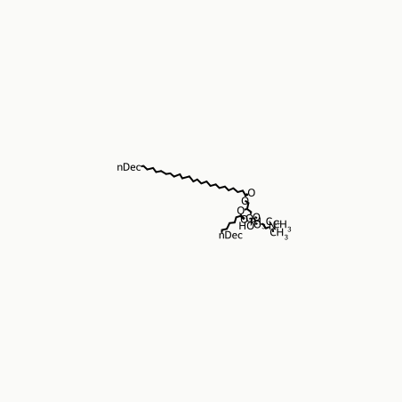 CCCCCCCCCCCCCCCCCCCCCCCCCCCCCCCCCC(=O)OCC(COP(=O)(O)OCC[N+](C)(C)C)OC(=O)CCCCCCCCCCCCCCC